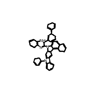 C1=CCCC(n2c3ccccc3c3cc4c5c6c(ccc5n(C5=NC7=C(C=CCC7)NC5C5=CC(C7=CCCC=C7)CC=C5)c4cc32)C=CCC6)=C1